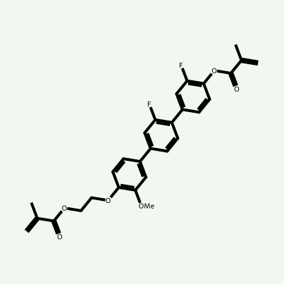 C=C(C)C(=O)OCCOc1ccc(-c2ccc(-c3ccc(OC(=O)C(=C)C)c(F)c3)c(F)c2)cc1OC